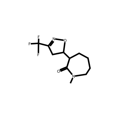 CN1CCCCC(C2CC(C(F)(F)F)=NO2)C1=O